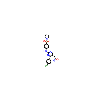 O=C1Cc2cnc(Nc3ccc(S(=O)(=O)N4CCCC4)cc3)nc2-c2ccc(Cl)cc2N1